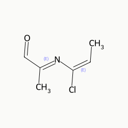 C/C=C(Cl)\N=C(/C)C=O